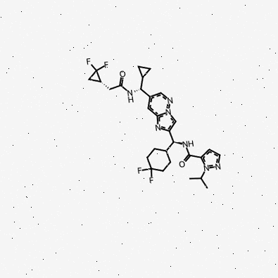 CC(C)n1nccc1C(=O)N[C@H](c1cn2ncc([C@H](NC(=O)C[C@@H]3CC3(F)F)C3CC3)cc2n1)C1CCC(F)(F)CC1